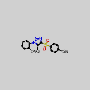 COc1ccccc1-n1nnc(S(=O)(=O)c2ccc(C(C)(C)C)cc2)c1C